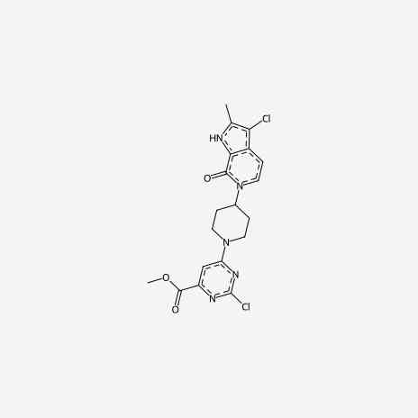 COC(=O)c1cc(N2CCC(n3ccc4c(Cl)c(C)[nH]c4c3=O)CC2)nc(Cl)n1